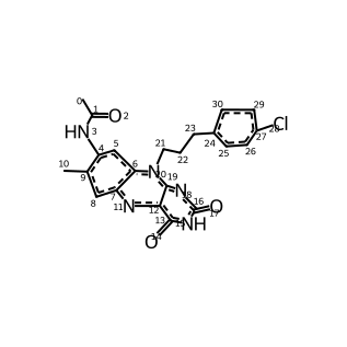 CC(=O)Nc1cc2c(cc1C)nc1c(=O)[nH]c(=O)nc-1n2CCCc1ccc(Cl)cc1